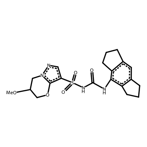 COC1COc2c(S(=O)(=O)NC(=O)Nc3c4c(cc5c3CCC5)CCC4)cnn2C1